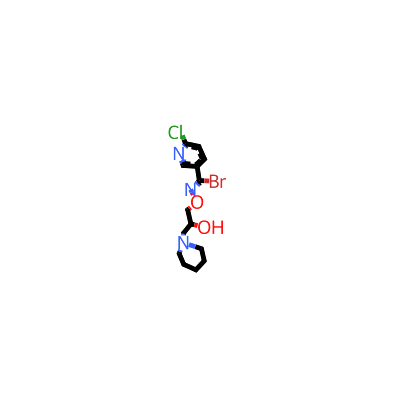 OC(CON=C(Br)c1ccc(Cl)nc1)CN1CCCCC1